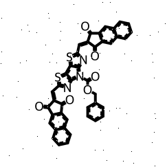 O=C1C(=Cc2nc3c(s2)c2sc(C=C4C(=O)c5cc6ccccc6cc5C4=O)nc2n3C(=O)OCc2ccccc2)C(=O)c2cc3ccccc3cc21